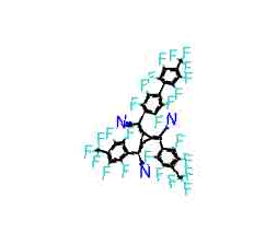 N#CC(=C1C(=C(\C#N)c2c(F)c(F)c(-c3c(F)c(F)c(C(F)(F)F)c(F)c3F)c(F)c2F)/C1=C(\C#N)c1c(F)c(F)c(C(F)(F)F)c(F)c1F)c1c(F)c(F)c(C(F)(F)F)c(F)c1F